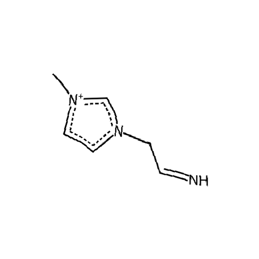 C[n+]1ccn(CC=N)c1